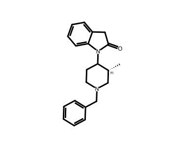 C[C@@H]1CN(Cc2ccccc2)CCC1N1C(=O)Cc2ccccc21